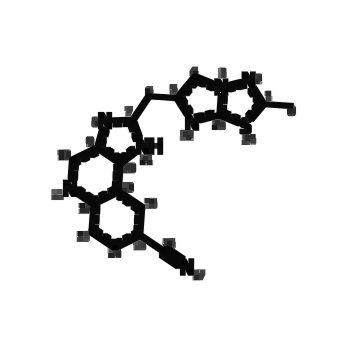 Cc1nn2cc(Cc3nc4cnc5ccc(C#N)cc5c4[nH]3)nc2s1